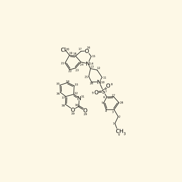 CCCc1ccc(S(=O)(=O)N2CCC(N3COCc4c(Cl)cccc43)CC2)cc1.O=c1nc2ccccc2co1